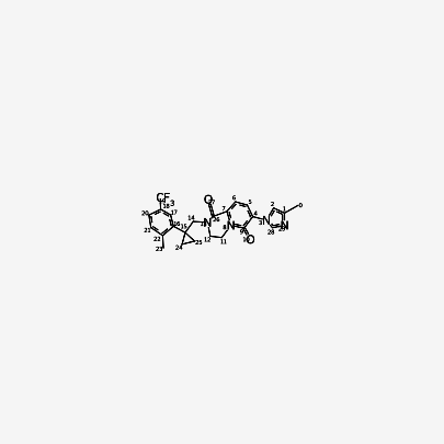 Cc1cn(-c2ccc3n(c2=O)CCN(CC2(c4cc(C(F)(F)F)ccc4C)CC2)C3=O)cn1